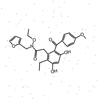 CCON(Cc1ccco1)C(=O)Cc1c(CC)c(O)cc(O)c1C(=O)c1ccc(OC)cc1